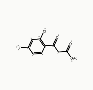 CC(=O)OC(=O)CC(=O)c1ccc(C(F)(F)F)cc1Cl